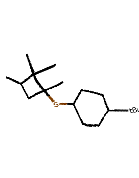 CC1CC(C)(SC2CCC(C(C)(C)C)CC2)C1(C)C